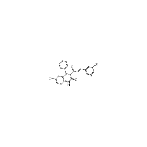 O=C(C=Cc1cncc(Br)c1)c1c(-c2ccccc2)c2cc(Cl)ccc2[nH]c1=O